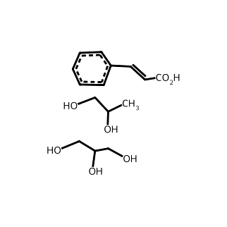 CC(O)CO.O=C(O)C=Cc1ccccc1.OCC(O)CO